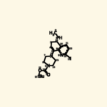 CP[C@H]1CC=C(N2CCN(C(=O)OC(C)(C)C)CC2)c2nc(I)ccc21